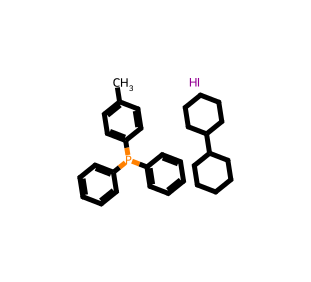 C1CCC(C2CCCCC2)CC1.Cc1ccc(P(c2ccccc2)c2ccccc2)cc1.I